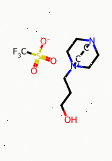 O=S(=O)([O-])C(F)(F)F.OCCC[N+]12CCN(CC1)CC2